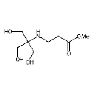 COC(=O)CCNC(CO)(CO)CO